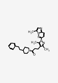 Cc1nn(-c2ccc3ncc(C)n3n2)c(C)c1CCC(=O)N1CCC(CCc2ccccc2)CC1